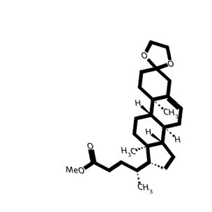 COC(=O)CC[C@@H](C)[C@H]1CC[C@H]2[C@@H]3CC=C4CC5(CC[C@]4(C)[C@H]3CC[C@]12C)OCCO5